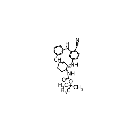 Cc1cccc(Nc2cc(N[C@@H]3CCCC[C@@H]3NC(=O)OC(C)(C)C)ccc2C#N)c1